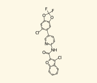 O=C(Nc1ccc(-c2cc3c(cc2Cl)OC(F)(F)O3)cn1)c1oc2ccccc2c1Cl